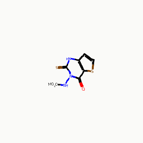 O=C(O)Nn1c(=S)[nH]c2ccsc2c1=O